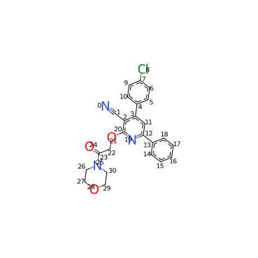 N#Cc1c(-c2ccc(Cl)cc2)cc(-c2ccccc2)nc1OCC(=O)N1CCOCC1